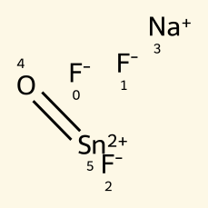 [F-].[F-].[F-].[Na+].[O]=[Sn+2]